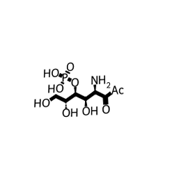 CC(=O)C(=O)[C@H](N)[C@@H](O)[C@H](OP(=O)(O)O)[C@H](O)CO